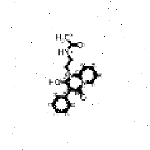 CC(=O)NCCn1c(O)c(-c2ccccc2)c(=O)[n+]2ccccc12